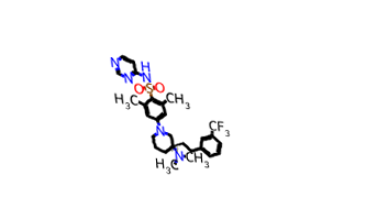 Cc1cc(N2CCC[C@@](CCc3cccc(C(F)(F)F)c3)(N(C)C)C2)cc(C)c1S(=O)(=O)Nc1ccncn1